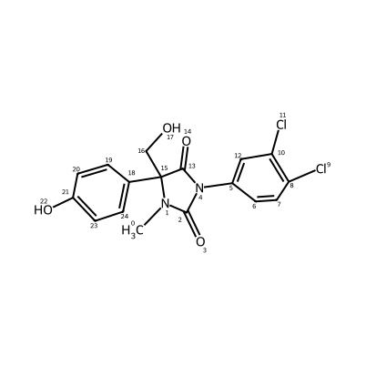 CN1C(=O)N(c2ccc(Cl)c(Cl)c2)C(=O)C1(CO)c1ccc(O)cc1